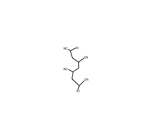 CCC(C#N)CC(C#N)CC(C#N)CC(C#N)CC